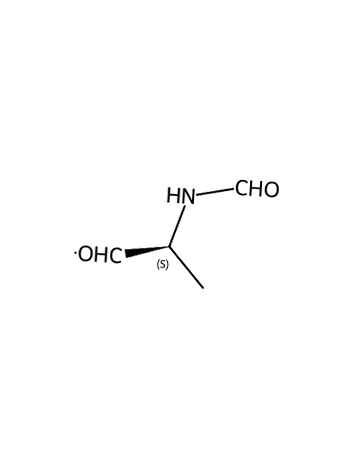 C[C@@H]([C]=O)NC=O